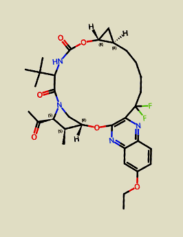 CCOc1ccc2nc3c(nc2c1)O[C@H]1CN(C(=O)C(C(C)(C)C)NC(=O)O[C@@H]2C[C@H]2CCCCC3(F)F)[C@H](C(C)=O)[C@@H]1C